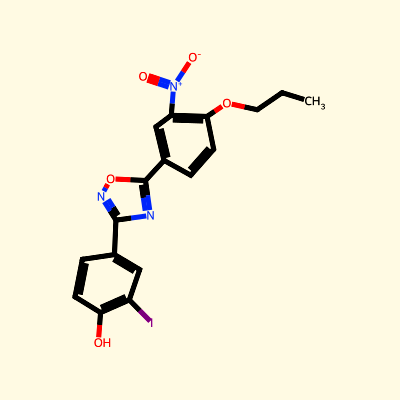 CCCOc1ccc(-c2nc(-c3ccc(O)c(I)c3)no2)cc1[N+](=O)[O-]